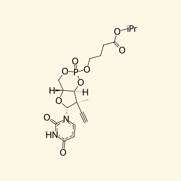 C#C[C@]1(C)[C@@H]2OP(=O)(OCCCC(=O)OC(C)C)OC[C@H]2O[C@H]1n1ccc(=O)[nH]c1=O